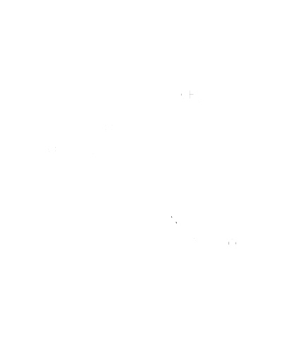 O=C(OCc1ccccc1)C1CCCc2c1c1cc(C(F)(F)F)ccc1n2C(=O)c1ccccc1